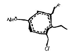 COc1cc(F)c(C)c(Cl)c1